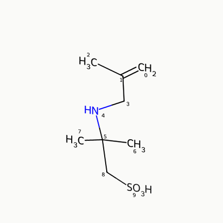 C=C(C)CNC(C)(C)CS(=O)(=O)O